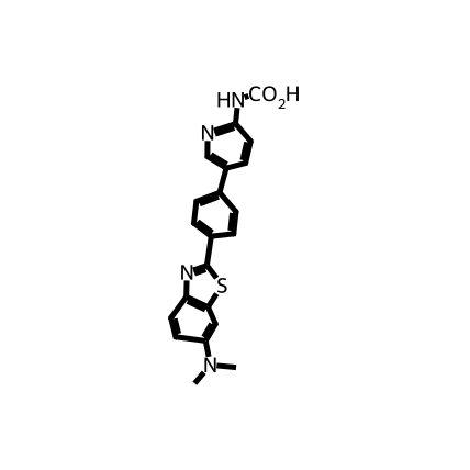 CN(C)c1ccc2nc(-c3ccc(-c4ccc(NC(=O)O)nc4)cc3)sc2c1